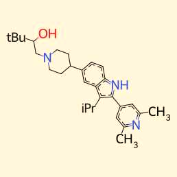 Cc1cc(-c2[nH]c3ccc(C4CCN(CC(O)C(C)(C)C)CC4)cc3c2C(C)C)cc(C)n1